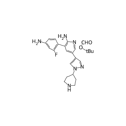 CC(C)(C)OC=O.Nc1ccc(-c2cc(-c3cnn(C4CCNCC4)c3)cnc2N)c(F)c1